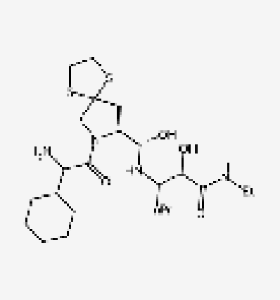 CCCC(N[C@@H](O)[C@@H]1CC2(CN1C(=O)C(N)C1CCCCC1)SCCS2)C(O)C(=O)NCC